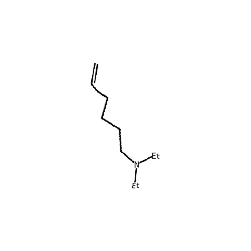 C=CCCCCN(CC)CC